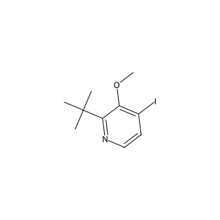 COc1c(I)ccnc1C(C)(C)C